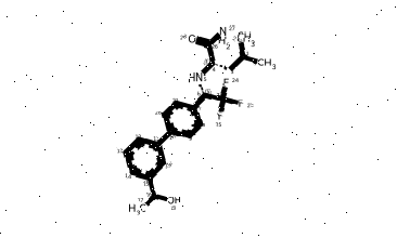 CC(C)C[C@H](N[C@@H](c1ccc(-c2cccc(C(C)O)c2)cc1)C(F)(F)F)C(N)=O